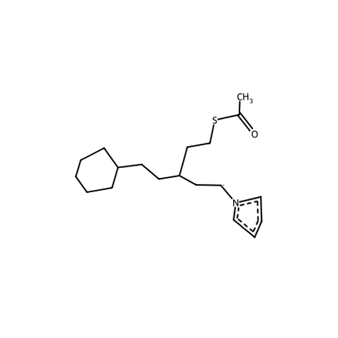 CC(=O)SCCC(C[CH]n1cccc1)CCC1CCCCC1